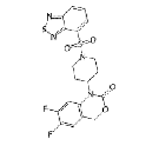 O=C1OCc2cc(F)c(F)cc2N1C1CCN(S(=O)(=O)c2cccc3nsnc23)CC1